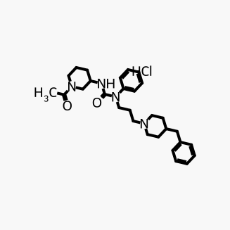 CC(=O)N1CCCC(NC(=O)N(CCCN2CCC(Cc3ccccc3)CC2)c2ccccc2)C1.Cl